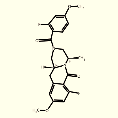 COc1ccc(C(=O)N2C[C@H]3Cc4cc(OC)cc(F)c4C(=O)N3[C@H](C)C2)c(F)c1